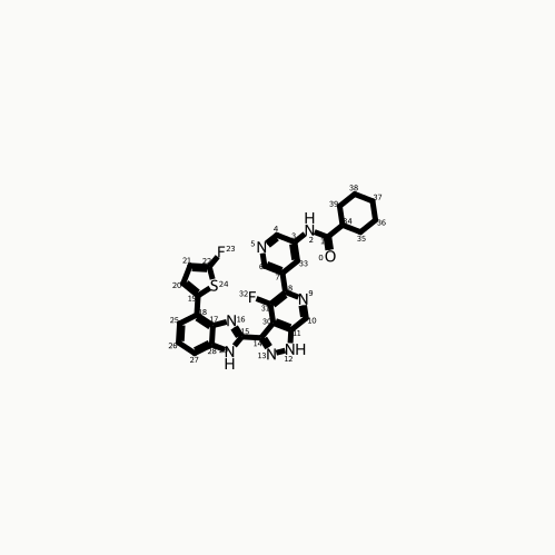 O=C(Nc1cncc(-c2ncc3[nH]nc(-c4nc5c(-c6ccc(F)s6)cccc5[nH]4)c3c2F)c1)C1CCCCC1